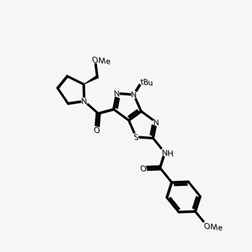 COC[C@@H]1CCCN1C(=O)c1nn(C(C)(C)C)c2nc(NC(=O)c3ccc(OC)cc3)sc12